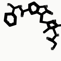 Cc1[nH]c(C=C2C(=O)Nc3ccc(C(=O)NC(c4ccccc4)C(C)C)cc32)c(C)c1NC(=O)CCl